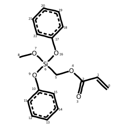 C=CC(=O)OC[Si](OC)(Oc1ccccc1)Oc1ccccc1